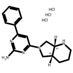 Cl.Cl.Cl.Nc1nc(-c2ccccc2)cc(N2C[C@H]3CCCN[C@H]3C2)n1